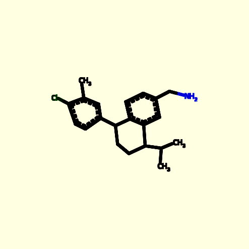 Cc1cc(C2CCC(C(C)C)c3cc(CN)ccc32)ccc1Cl